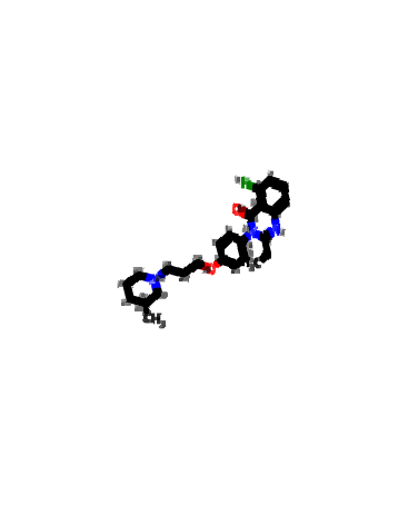 CCc1nc2cccc(F)c2c(=O)n1-c1ccc(OCCCN2CCC[C@H](C)C2)cc1